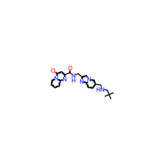 CC(C)(C)CNCc1ccc2nc(CNC(=O)c3cc(=O)n4ccccc4n3)cn2c1